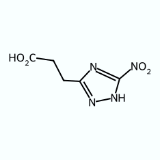 O=C(O)CCc1n[nH]c([N+](=O)[O-])n1